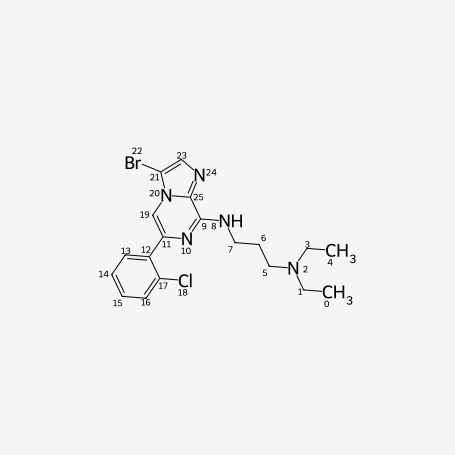 CCN(CC)CCCNc1nc(-c2ccccc2Cl)cn2c(Br)cnc12